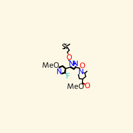 COC(=O)C1CCN(C(=O)c2cc(-c3cc(OC)ncc3F)n(COCC[Si](C)(C)C)n2)C(C)C1